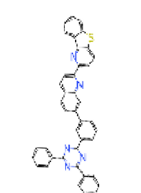 c1ccc(-c2nc(-c3ccccc3)nc(-c3cccc(-c4ccc5ccc(-c6ccc7sc8ccccc8c7n6)nc5c4)c3)n2)cc1